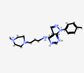 Cc1ccc(-n2ncc3c(NCCCN4CCN(C)CC4)ncnc32)cc1